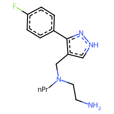 CCCN(CCN)Cc1c[nH]nc1-c1ccc(F)cc1